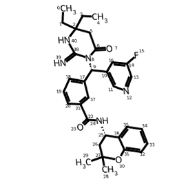 CCC1(CC)CC(=O)N([C@H](c2cncc(F)c2)c2cccc(C(=O)N[C@H]3CC(C)(C)Oc4ccccc43)c2)C(=N)N1